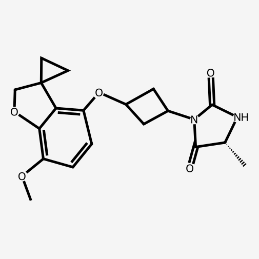 COc1ccc(OC2CC(N3C(=O)N[C@H](C)C3=O)C2)c2c1OCC21CC1